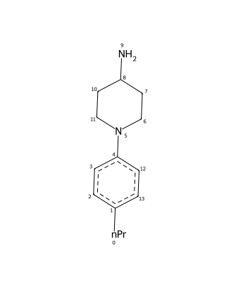 CCCc1ccc(N2CCC(N)CC2)cc1